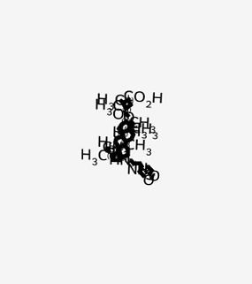 C=C(C)[C@@H]1CC[C@]2(NC[C@H](N)CN3CCS(=O)(=O)CC3)CC[C@]3(C)[C@H](CC[C@@H]4[C@@]5(C)CC[C@H](OC(=O)[C@H]6C[C@@H](C(=O)O)C6(C)C)C(C)(C)[C@@H]5CC[C@]43C)[C@@H]12